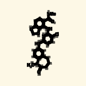 CNC(=O)c1ccc2c(c1Nc1nc(Nc3ccc4c(c3)CCCC(=O)N4C)ncc1Cl)OCO2